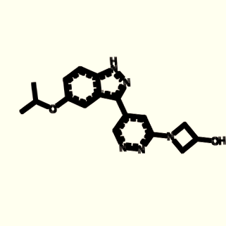 CC(C)Oc1ccc2[nH]nc(-c3cnnc(N4CC(O)C4)c3)c2c1